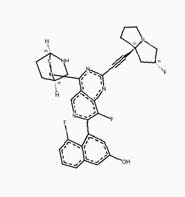 Oc1cc(-c2ncc3c(N4C[C@H]5CC[C@@H]4CN5)nc(C#C[C@@]45CCCN4C[C@H](F)C5)nc3c2F)c2c(F)cccc2c1